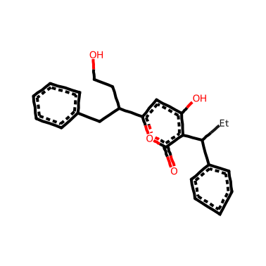 CCC(c1ccccc1)c1c(O)cc(C(CCO)Cc2ccccc2)oc1=O